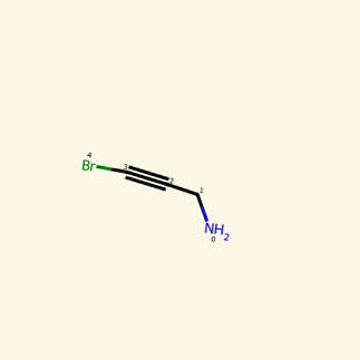 NCC#CBr